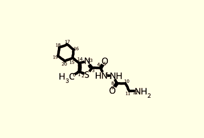 Cc1sc(C(=O)NNC(=O)CCN)nc1C1CCCCC1